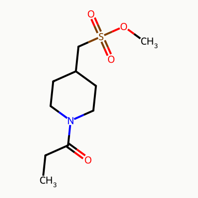 CCC(=O)N1CCC(CS(=O)(=O)OC)CC1